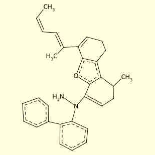 C/C=C\C=C(/C)C1=CCCc2c1oc1c2C(C)CC=C1N(N)c1ccccc1-c1ccccc1